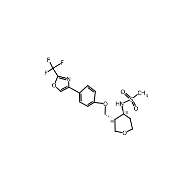 CS(=O)(=O)N[C@H]1CCOC[C@@H]1COc1ccc(-c2coc(C(F)(F)F)n2)cc1